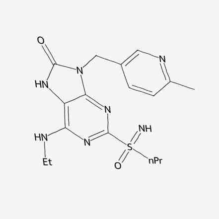 CCCS(=N)(=O)c1nc(NCC)c2[nH]c(=O)n(Cc3ccc(C)nc3)c2n1